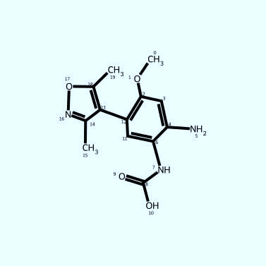 COc1cc(N)c(NC(=O)O)cc1-c1c(C)noc1C